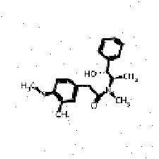 CSc1ccc(CC(=O)N(C)[C@H](C)[C@H](O)c2ccccc2)cc1C